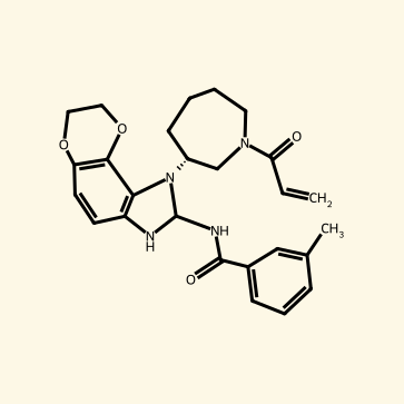 C=CC(=O)N1CCCC[C@@H](N2c3c(ccc4c3OCCO4)NC2NC(=O)c2cccc(C)c2)C1